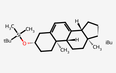 CC[C@H](C)[C@H]1CC[C@H]2C3=CC=C4C[C@@H](O[Si](C)(C)C(C)(C)C)CC[C@]4(C)[C@H]3CC[C@]12C